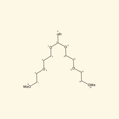 CCCC(OCCOCCOC)OCCOCCOC